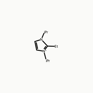 CCc1n(C(C)C)cc[n+]1C(C)C